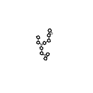 c1ccc(-c2cccc(N(c3ccc(-c4cccc(-c5ccc6c(c5)oc5ccccc56)c4)cc3)c3ccc(-c4cccc(-n5c6ccccc6c6ccccc65)c4)cc3)c2)cc1